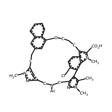 CC(=O)N1Cc2cc(n(C)n2)CCc2cc(c3ccccc3c2)OCCCc2c(C(=O)O)n(C)c3c(c(Cl)ccc23)-c2c(nn(C)c2C)C1